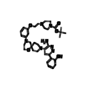 CC(C)(C)OC(=O)N1CCN(CCOc2cccc(N3CCOC4(CCN(c5cc(-c6ccccc6O)nnc5N)CC4)C3)c2)CC1